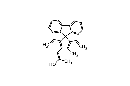 C=C/C(=C\C)C1(/C(C=C)=C/C=C(\C)O)c2ccccc2-c2ccccc21